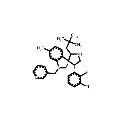 Cc1ccc2c(c1)N(Cc1cccnc1)C[C@@]21C(CC(C)(C)C)NC[C@@H]1c1cccc(Cl)c1F